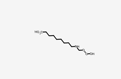 O=C(O)CCCCCCCCNCOOO